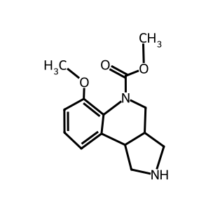 COC(=O)N1CC2CNCC2c2cccc(OC)c21